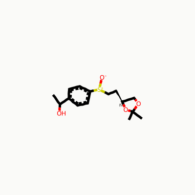 CC(O)c1ccc([S+]([O-])CC[C@H]2COC(C)(C)O2)cc1